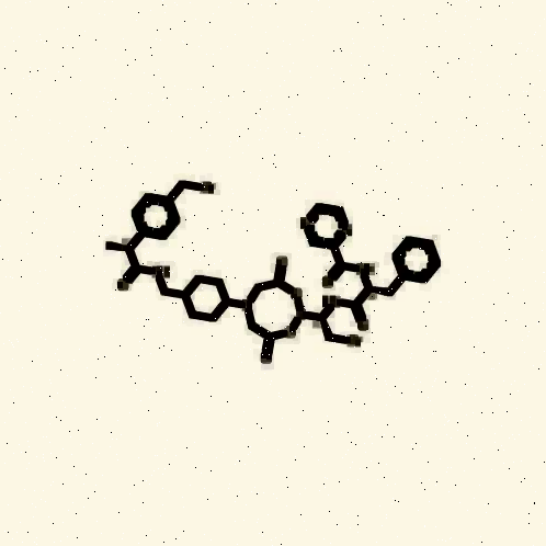 CC(C)Cc1ccc([C@H](C)C(=O)NCC2CCC(N3CC(=O)OB([C@H](CC(C)C)NC(=O)[C@H](Cc4ccccc4)NC(=O)c4cnccn4)OC(=O)C3)CC2)cc1